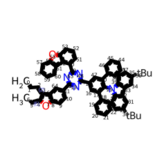 C=C/C=c1\c(=C/C)oc2ccc(-c3nc(-c4cc(-c5ccccc5)c(-n5c6ccc(C(C)(C)C)cc6c6cc(C(C)(C)C)ccc65)c(-c5ccccc5)c4)nc(-c4cccc5oc6ccccc6c45)n3)cc12